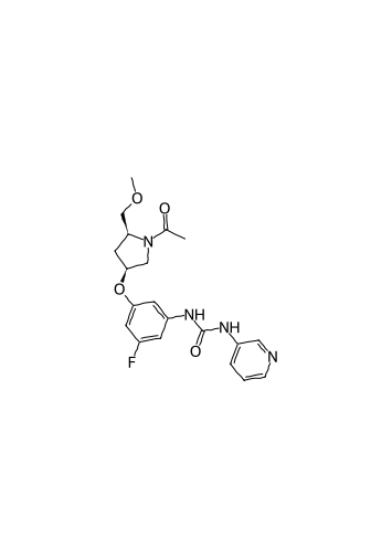 COC[C@@H]1C[C@H](Oc2cc(F)cc(NC(=O)Nc3cccnc3)c2)CN1C(C)=O